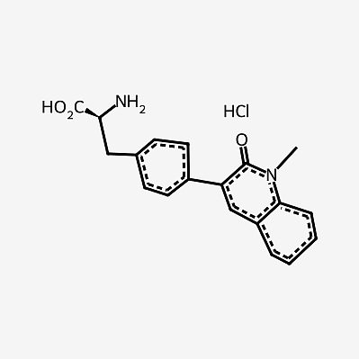 Cl.Cn1c(=O)c(-c2ccc(C[C@H](N)C(=O)O)cc2)cc2ccccc21